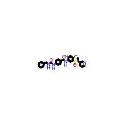 O=C(O)CC(c1cccnc1)[S+]([O-])c1cccc(NC(=O)c2ccc(NC(=O)NCc3ccccc3)cc2)c1